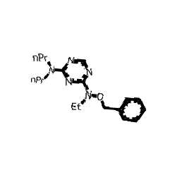 CCCN(CCC)c1ncnc(N(CC)OCc2ccccc2)n1